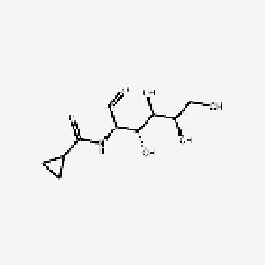 O=C[C@H](NC(=O)C1CC1)[C@@H](O)[C@@H](O)[C@H](O)CO